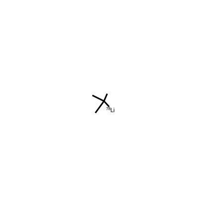 [78Li][C](C)(C)C